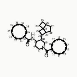 O=C(NC1CCN(C(=O)c2ccccccccc2)CC1C1CC23CCC2CCC13)c1ccccccccc1